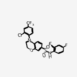 O=S(=O)(Nc1ccc(F)cc1F)c1ccc2c(c1)OCCN2c1ccc(C(F)(F)F)cc1Cl